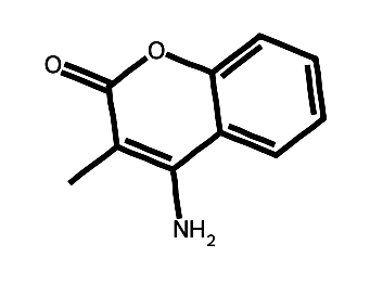 Cc1c(N)c2ccccc2oc1=O